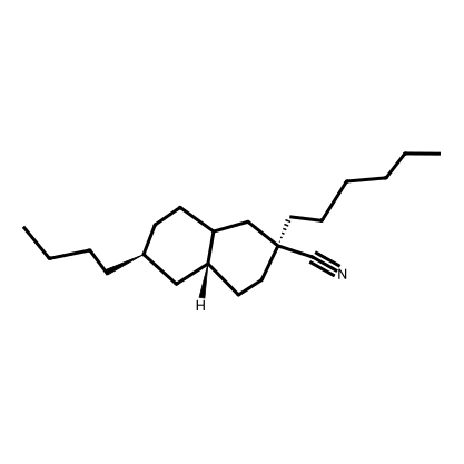 CCCCCC[C@]1(C#N)CC[C@@H]2C[C@@H](CCCC)CCC2C1